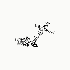 O=CC(CO)CC(NC(=O)N[C@@H](CCCCN(Cc1nccc2ccccc12)C(=O)CCCCNC(=O)CN1CCN(CC(=O)O)CCN(CC(=O)O)CCN(CC(=O)O)CC1)C(=O)O)C(=O)O